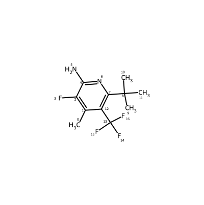 Cc1c(F)c(N)nc(C(C)(C)C)c1C(F)(F)F